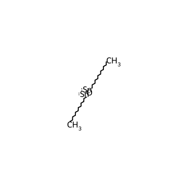 CCCCCCCCCCCC[CH2][Sn][O][Sn][CH2]CCCCCCCCCCCC